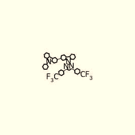 FC(F)(F)c1ccc(-c2cc(-c3ccc(C(F)(F)F)cc3)nc(-n3c4ccccc4c4ccc(-c5ccc6c(c5)c5ccccc5n6-c5ccccc5)cc43)n2)cc1